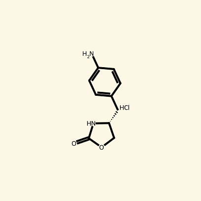 Cl.Nc1ccc(C[C@@H]2COC(=O)N2)cc1